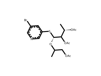 CC(=O)OCC(C)O[C@H](Sc1cncc(Br)c1)C(OC(C)=O)[C@H](C)OC(C)=O